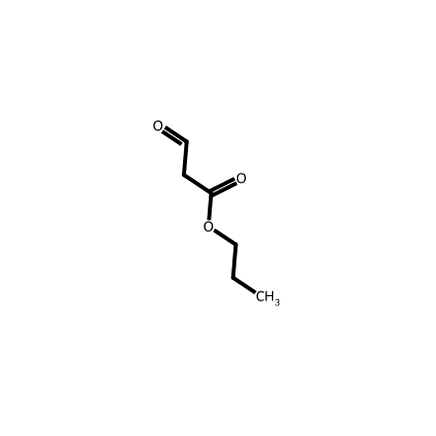 CCCOC(=O)CC=O